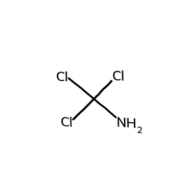 NC(Cl)(Cl)Cl